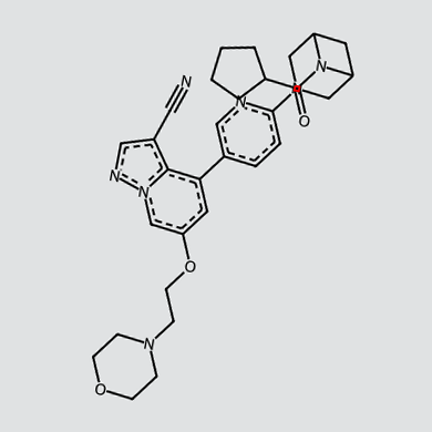 N#Cc1cnn2cc(OCCN3CCOCC3)cc(-c3ccc(N4CC5CC(C4)N5C(=O)C4CCCC4)nc3)c12